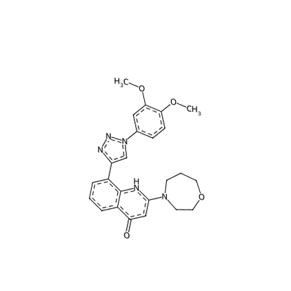 COc1ccc(-n2cc(-c3cccc4c(=O)cc(N5CCCOCC5)[nH]c34)nn2)cc1OC